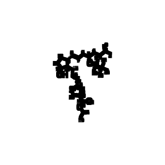 C=C(C)CCC(CC=C[C@H]1CC[C@H](O)[C@@H]1CCSc1nc(C(=O)OCC)cs1)O[Si](C)(C)C(C)(C)C